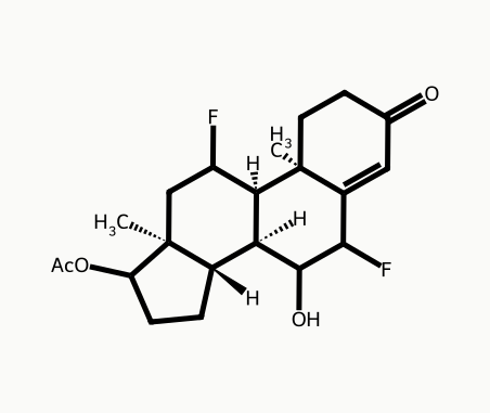 CC(=O)OC1CC[C@H]2[C@@H]3C(O)C(F)C4=CC(=O)CC[C@]4(C)[C@@H]3C(F)C[C@]12C